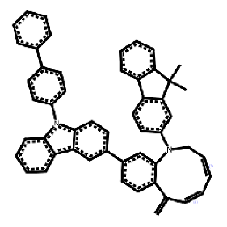 C=C1/C=C\C=C/CN(c2ccc3c(c2)C(C)(C)c2ccccc2-3)c2cc(-c3ccc4c(c3)c3ccccc3n4-c3ccc(-c4ccccc4)cc3)ccc21